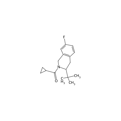 CC(C)(C)C1Cc2ccc(F)cc2CN1C(=O)C1CC1